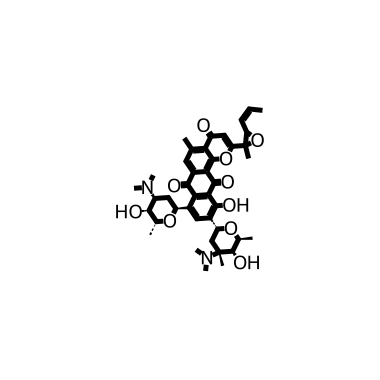 C/C=C\C1OC1(C)c1cc(=O)c2c(C)cc3c(c2o1)C(=O)c1c(O)c([C@H]2C[C@@](C)(N(C)C)[C@H](O)[C@H](C)O2)cc([C@@H]2C[C@H](N(C)C)[C@@H](O)[C@@H](C)O2)c1C3=O